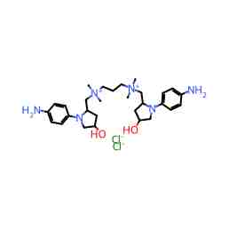 C[N+](C)(CCC[N+](C)(C)CC1CC(O)CN1c1ccc(N)cc1)CC1CC(O)CN1c1ccc(N)cc1.[Cl-].[Cl-]